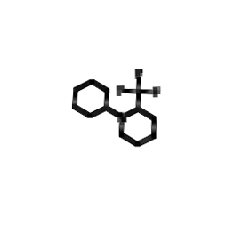 FC(F)(F)C1CCCCN1C1CCCCC1